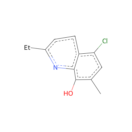 CCc1ccc2c(Cl)cc(C)c(O)c2n1